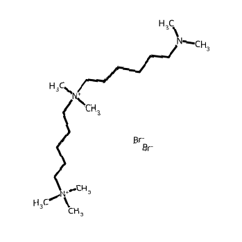 CN(C)CCCCCC[N+](C)(C)CCCCC[N+](C)(C)C.[Br-].[Br-]